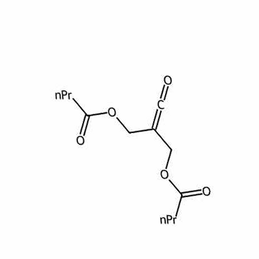 CCCC(=O)OCC(=C=O)COC(=O)CCC